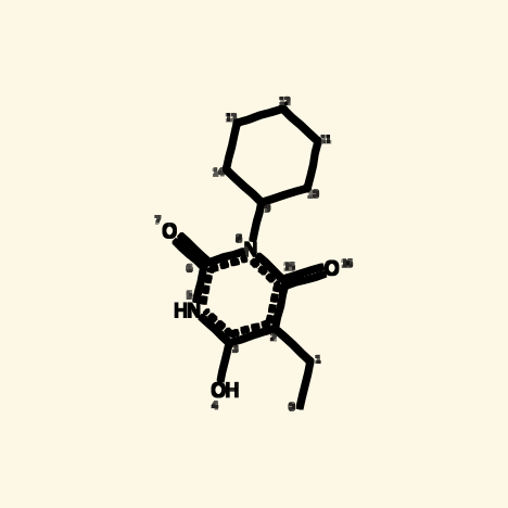 CCc1c(O)[nH]c(=O)n(C2CCCCC2)c1=O